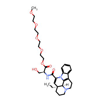 CC[C@@]12C=C(C(=O)N[C@@H](CO)C(=O)OCCOCCOCCOCCOC)n3c4c(c5ccccc53)CCN(CCC1)[C@H]42